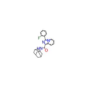 O=C(NC12CC3CC(CC(C3)C1)C2)c1nc(-c2ccccc2F)n2ccccc12